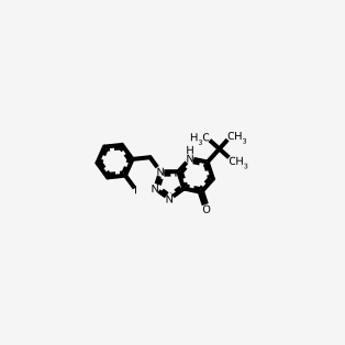 CC(C)(C)c1cc(=O)c2nnn(Cc3ccccc3I)c2[nH]1